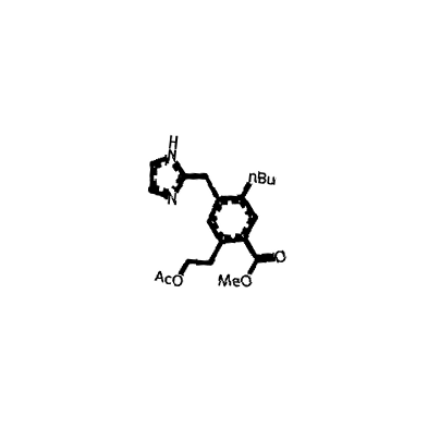 CCCCc1cc(C(=O)OC)c(CCOC(C)=O)cc1Cc1ncc[nH]1